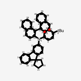 CC(C)(C)c1ccc(N(c2ccc3c(c2)-c2ccccc2C32CCCC2)c2ccc3ccccc3c2-c2cccc3ccccc23)cc1